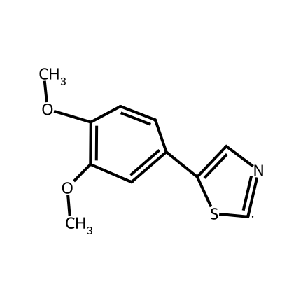 COc1ccc(-c2cn[c]s2)cc1OC